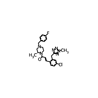 C[C@@H]1CN(Cc2ccc(F)cc2)CCN1C(=O)C=Cc1ccc(Cl)cc1Cc1nnn(C)n1